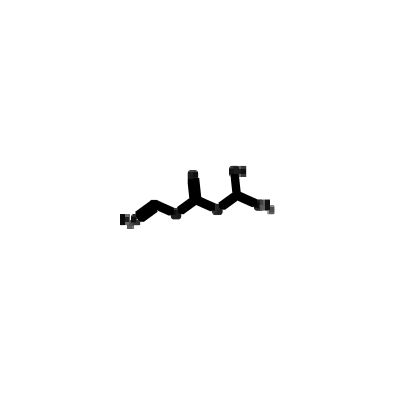 C=COC(=O)OC(C)O